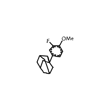 COc1ccc(C23CC4CC(CC(C4)C2)C3)cc1F